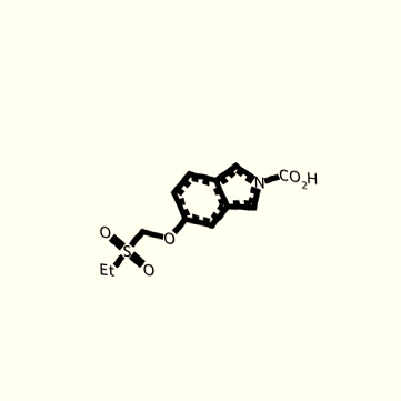 CCS(=O)(=O)COc1ccc2cn(C(=O)O)cc2c1